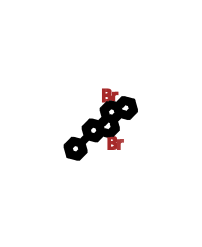 Brc1cc2c3ccc(-c4ccccc4)cc3c(Br)cc2c2ccccc12